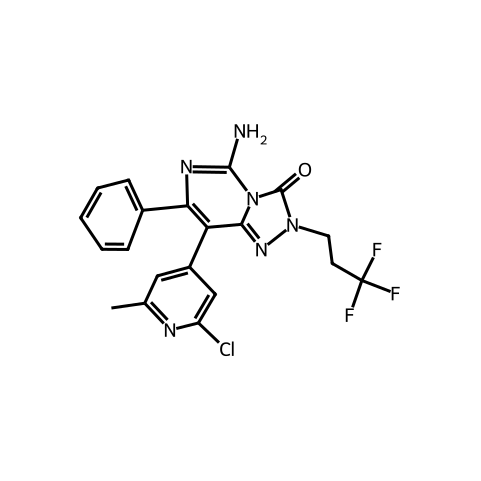 Cc1cc(-c2c(-c3ccccc3)nc(N)n3c(=O)n(CCC(F)(F)F)nc23)cc(Cl)n1